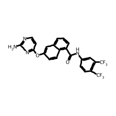 Nc1nccc(Oc2ccc3c(C(=O)Nc4ccc(C(F)(F)F)c(C(F)(F)F)c4)cccc3c2)n1